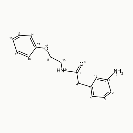 Nc1cccc(CC(=O)NCCOc2ccccc2)c1